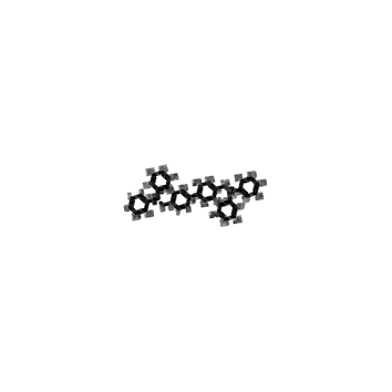 c1ccc(P(Cc2ccc(-c3ccc(CP(c4ccccc4)c4ccccc4)cc3)cc2)c2ccccc2)cc1